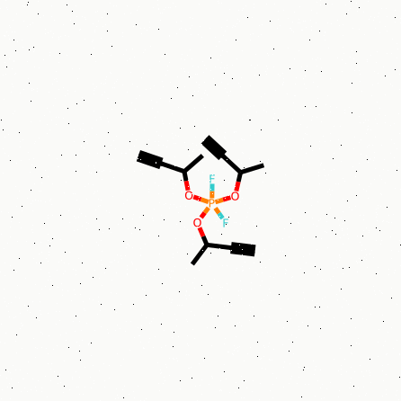 C#CC(C)OP(F)(F)(OC(C)C#C)OC(C)C#C